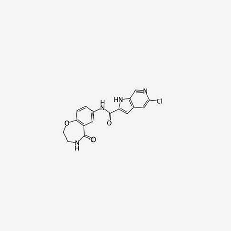 O=C(Nc1ccc2c(c1)C(=O)NCCO2)c1cc2cc(Cl)ncc2[nH]1